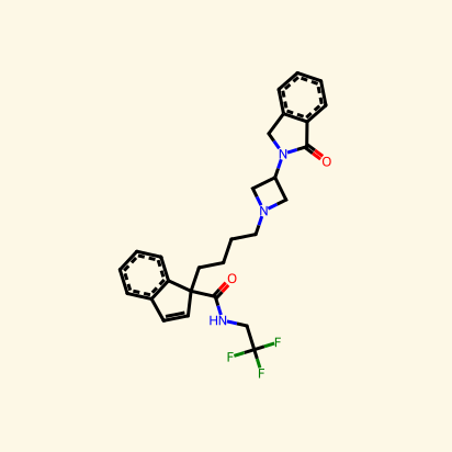 O=C1c2ccccc2CN1C1CN(CCCCC2(C(=O)NCC(F)(F)F)C=Cc3ccccc32)C1